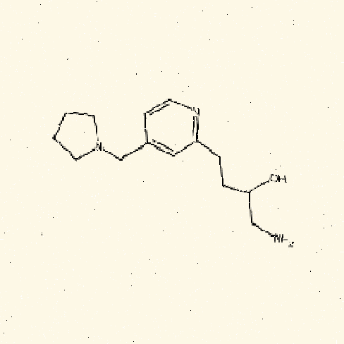 NCC(O)CCc1cc(CN2CCCC2)ccn1